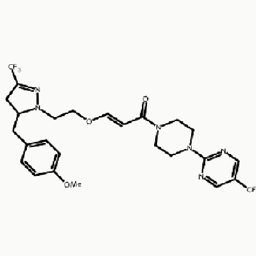 COc1ccc(CC2CC(C(F)(F)F)=NN2CCOC=CC(=O)N2CCN(c3ncc(C(F)(F)F)cn3)CC2)cc1